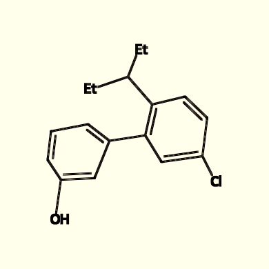 CCC(CC)c1ccc(Cl)cc1-c1cccc(O)c1